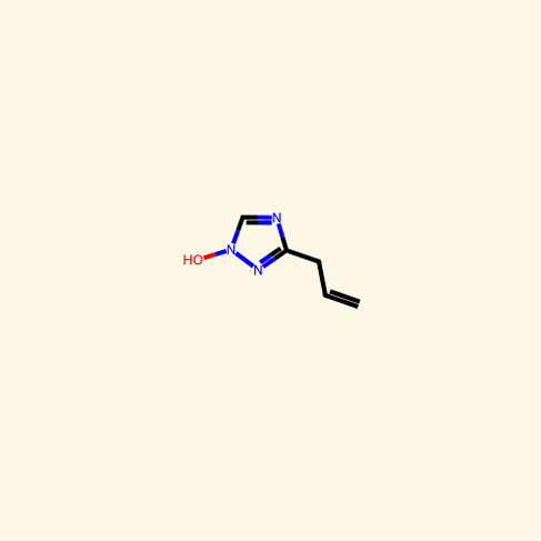 C=CCc1ncn(O)n1